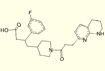 O=C(O)CC(CC1CCN(C(=O)CCc2ccc3c(n2)NCCC3)CC1)c1cccc(F)c1